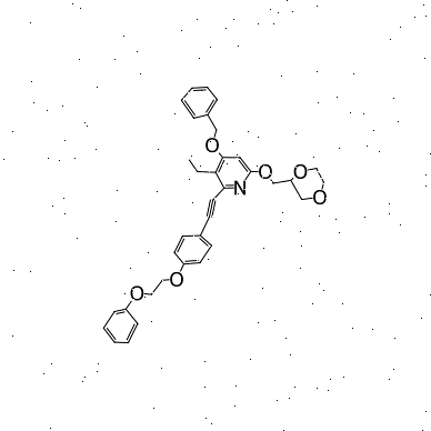 CCc1c(OCc2ccccc2)cc(OCC2COCCO2)nc1C#Cc1ccc(OCCOc2ccccc2)cc1